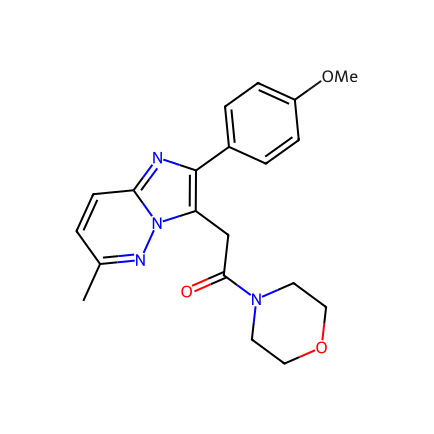 COc1ccc(-c2nc3ccc(C)nn3c2CC(=O)N2CCOCC2)cc1